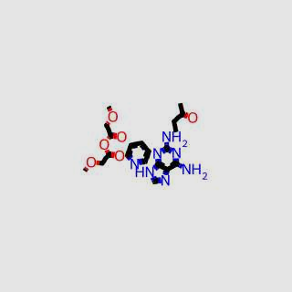 CCC(C)=O.COCC(=O)OC(=O)COC.Nc1nc(N)c2nc[nH]c2n1.c1ccncc1